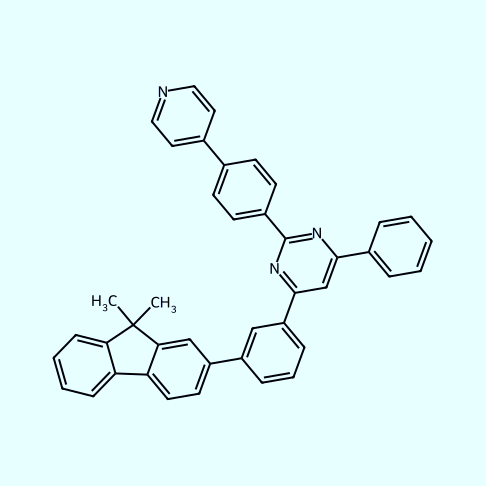 CC1(C)c2ccccc2-c2ccc(-c3cccc(-c4cc(-c5ccccc5)nc(-c5ccc(-c6ccncc6)cc5)n4)c3)cc21